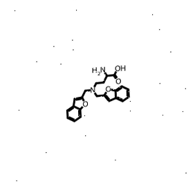 NC(CCN(Cc1cc2ccccc2o1)Cc1cc2ccccc2o1)C(=O)O